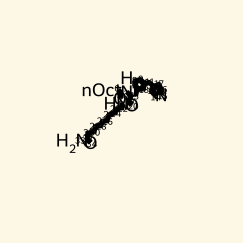 CCCCCCCCC(=O)N[C@@H](Cc1cccc(Cc2ccncc2)c1)C(=O)NCCCCCCCCCCC(N)=O